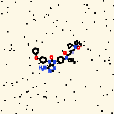 CN(C(=O)/C=C/C[N+](C)([O-])C1CCC1)c1ccc(-n2c(=O)n(-c3ccc(Oc4ccccc4)cc3)c3c(N)ncnc32)cc1